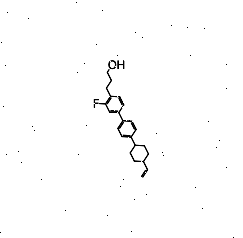 C=CC1CCC(c2ccc(-c3ccc(CCCO)c(F)c3)cc2)CC1